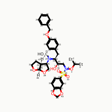 CCC(CC)ON(C[C@@H](O)[C@H](Cc1ccc(OCc2ccccc2)cc1)N(C(=O)O)[C@H]1CO[C@H]2OCC[C@H]21)S(=O)(=O)c1ccc2c(c1)OCO2